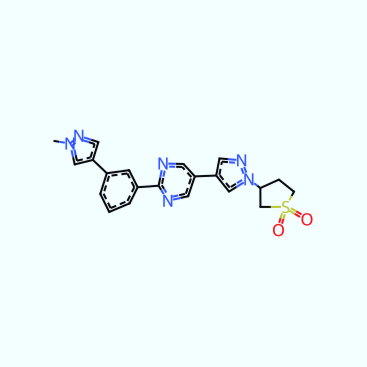 Cn1cc(-c2cccc(-c3ncc(-c4cnn(C5CCS(=O)(=O)C5)c4)cn3)c2)cn1